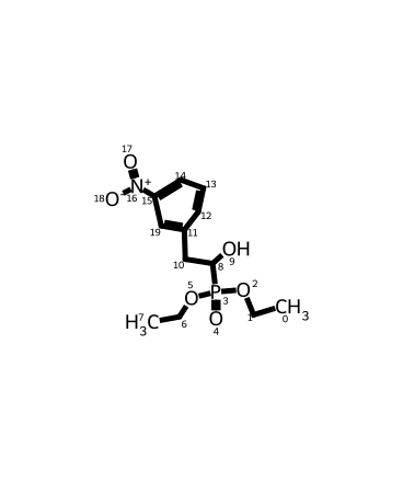 CCOP(=O)(OCC)C(O)Cc1cccc([N+](=O)[O-])c1